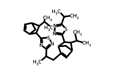 CC(C)c1nnc(C2C3CC(C=C3CC(C)c3nsc(C4C5C=CC(C5)C4C(C)C)n3)C2C(C)C)s1